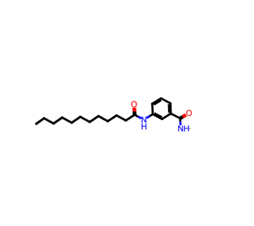 CCCCCCCCCCCC(=O)Nc1cccc(C([NH])=O)c1